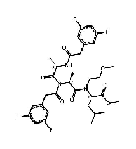 COCCN(C(=O)[C@H](C)N(C(=O)Cc1cc(F)cc(F)c1)C(=O)[C@H](C)NC(=O)Cc1cc(F)cc(F)c1)[C@@H](CC(C)C)C(=O)OC